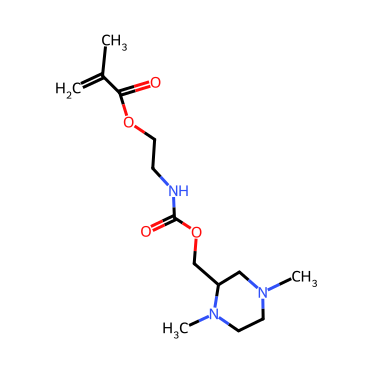 C=C(C)C(=O)OCCNC(=O)OCC1CN(C)CCN1C